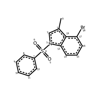 Cc1cn(S(=O)(=O)c2ccccc2)c2cccc(Br)c12